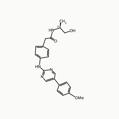 COc1ccc(-c2cnc(Nc3ccc(CC(=O)N[C@@H](C)CO)cc3)nc2)cc1